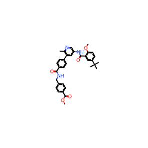 COC(=O)c1ccc(CNC(=O)c2ccc(-c3cc(NC(=O)c4cc(C(C)(C)C)ccc4OC)cnc3C)cc2)cc1